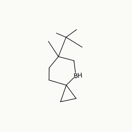 CC(C)(C)C1(C)CBC2(CC2)CC1